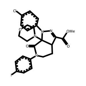 COC(=O)C1=NN(c2ccc(Cl)cc2)C2(N3CCOCC3)C(=O)N(c3ccc(I)cc3)CCC12